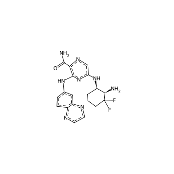 NC(=O)c1ncc(N[C@@H]2CCCC(F)(F)[C@@H]2N)nc1Nc1ccc2nccnc2c1